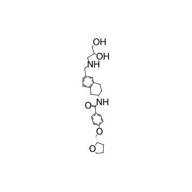 O=C(N[C@H]1CCc2cc(CNCC(O)CO)ccc2C1)c1ccc(OC[C@@H]2CCCO2)cc1